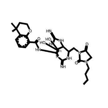 CCCCN1CC(=O)N(CC2NC(=N)N3CC(NC(=O)c4cccc5c4OCCC5(C)C)C(O)(O)[C@@]34NC(=N)NC24)C1=O